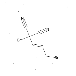 N#CC(Br)(C#N)C=CCBr